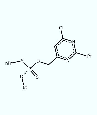 CCCS[P@@](=S)(OCC)OCc1cc(Cl)nc(C(C)C)n1